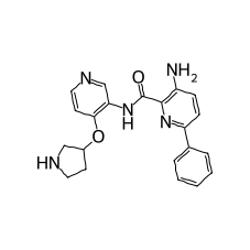 Nc1ccc(-c2ccccc2)nc1C(=O)Nc1cnccc1OC1CCNC1